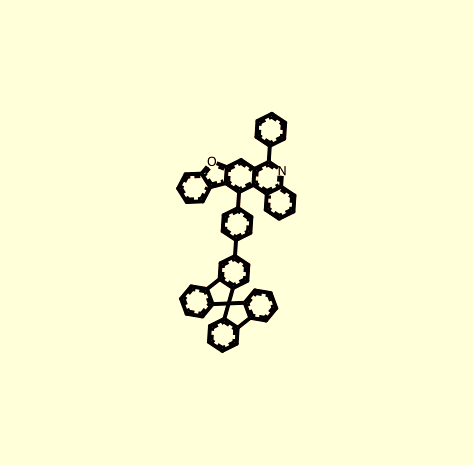 c1ccc(-c2nc3ccccc3c3c(-c4ccc(-c5ccc6c(c5)-c5ccccc5C65c6ccccc6-c6ccccc65)cc4)c4c(cc23)oc2ccccc24)cc1